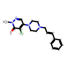 Cn1ncc(N2CCN(CC=Cc3ccccc3)CC2)c(Cl)c1=O